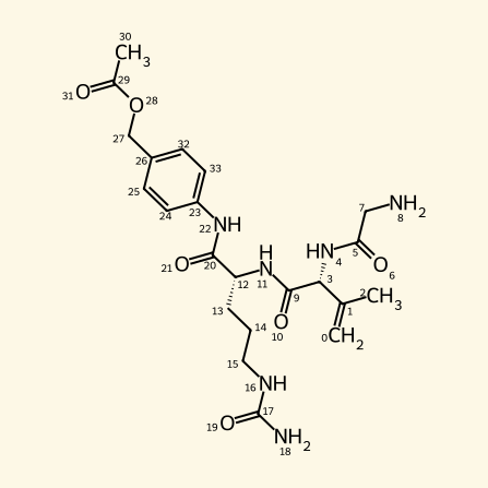 C=C(C)[C@@H](NC(=O)CN)C(=O)N[C@H](CCCNC(N)=O)C(=O)Nc1ccc(COC(C)=O)cc1